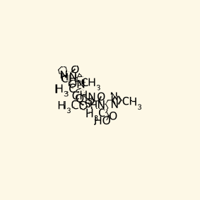 CC(=O)O[C@H](C[C@H](C(C)C)N(C)C(=O)C1(NC(=O)[C@H]2CCCCN2C)CC1)c1nc(C(=O)N[C@@H](Cc2ncc(C)cn2)C[C@H](C)C(=O)O)cs1